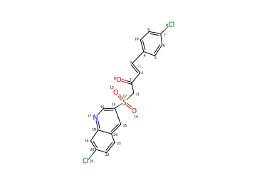 O=C(/C=C/c1ccc(Cl)cc1)CS(=O)(=O)c1cnc2cc(Cl)ccc2c1